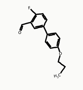 CCCOc1ccc(-c2ccc(F)c(C=O)c2)cc1